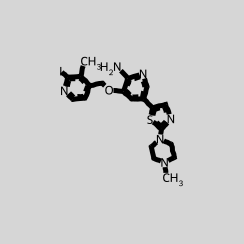 Cc1c(COc2cc(-c3cnc(N4CCN(C)CC4)s3)cnc2N)ccnc1I